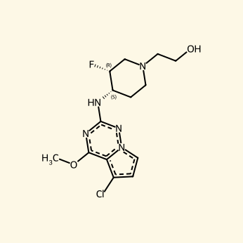 COc1nc(N[C@H]2CCN(CCO)C[C@H]2F)nn2ccc(Cl)c12